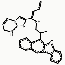 C=C/C=C(\NCC(C)c1c2ccccc2cc2c1oc1ccccc12)C1=CN2C=CCNC2N1